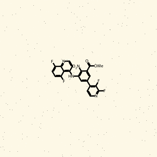 COC(=O)c1cc(-c2ccnc(F)c2F)cc(Nc2ccnc3c(F)ccc(F)c23)c1[N+](=O)[O-]